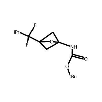 CC(C)C(F)(F)C12CC(NC(=O)OC(C)(C)C)(C1)C2